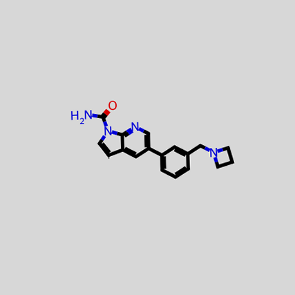 NC(=O)n1c[c]c2cc(-c3cccc(CN4CCC4)c3)cnc21